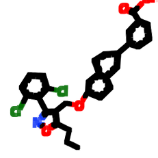 CCCc1onc(-c2c(Cl)cccc2Cl)c1COc1ccc2cc(-c3cccc(C(=O)O)c3)ccc2c1